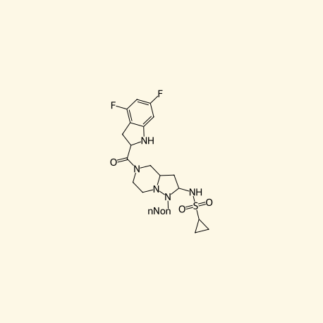 CCCCCCCCCN1C(NS(=O)(=O)C2CC2)CC2CN(C(=O)C3Cc4c(F)cc(F)cc4N3)CCN21